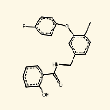 [CH2]c1ccc(CNC(=O)c2ccccc2O)cc1Oc1ccc(F)cc1